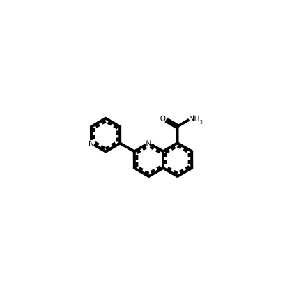 NC(=O)c1cccc2ccc(-c3cccnc3)nc12